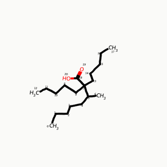 CCCCCC(C)C(CCCCC)(CCCCC)C(=O)O